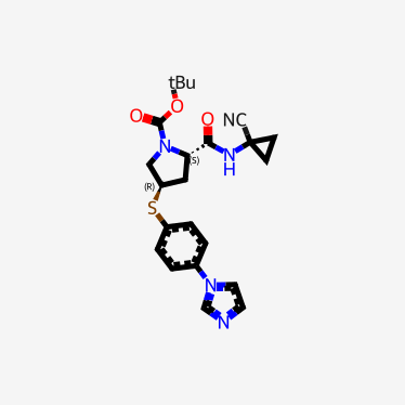 CC(C)(C)OC(=O)N1C[C@H](Sc2ccc(-n3ccnc3)cc2)C[C@H]1C(=O)NC1(C#N)CC1